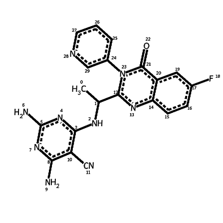 CC(Nc1nc(N)nc(N)c1C#N)c1nc2ccc(F)cc2c(=O)n1-c1cccnc1